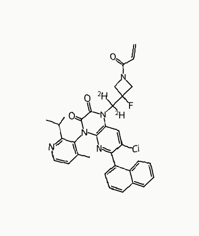 [2H]C([2H])(n1c(=O)c(=O)n(-c2c(C)ccnc2C(C)C)c2nc(-c3cccc4ccccc34)c(Cl)cc21)C1(F)CN(C(=O)C=C)C1